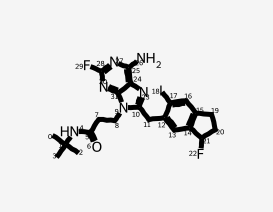 CC(C)(C)NC(=O)CCn1c(Cc2cc3c(cc2I)CCC3F)nc2c(N)nc(F)nc21